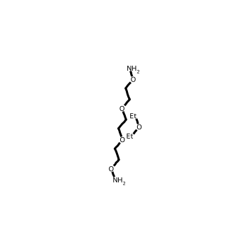 NOCCOCCOCCON.[CH2]COCC